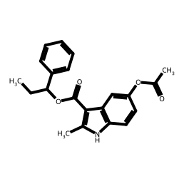 CCC(OC(=O)c1c(C)[nH]c2ccc(OC(C)=O)cc12)c1ccccc1